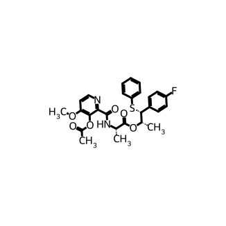 COc1ccnc(C(=O)N[C@@H](C)C(=O)O[C@@H](C)[C@H](Sc2ccccc2)c2ccc(F)cc2)c1OC(C)=O